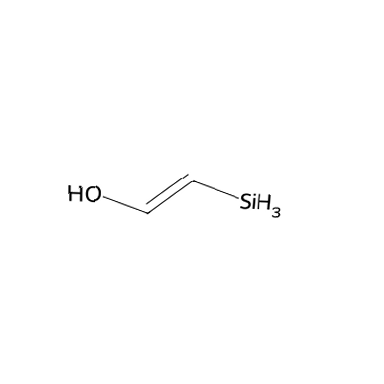 OC=C[SiH3]